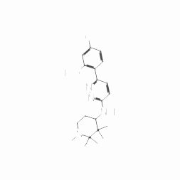 CN1CCC(Nc2ccc(-c3ccc(Cl)cc3O)nn2)C(C)(C)C1(C)C